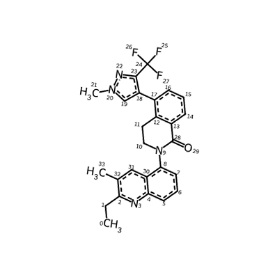 CCc1nc2cccc(N3CCc4c(cccc4-c4cn(C)nc4C(F)(F)F)C3=O)c2cc1C